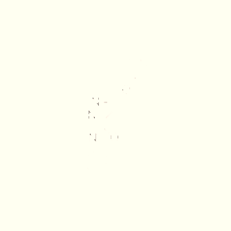 Cc1cccc(N2CCn3nc(COc4ccccc4)cc3C2=O)c1C